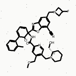 COCc1cc(C(=O)NC2(c3nc4cc(CN5CC(F)C5)cc(C#N)c4o3)C=CC=C(c3ccccc3C)C2Cl)ncc1CN1CCCC[C@H]1CO